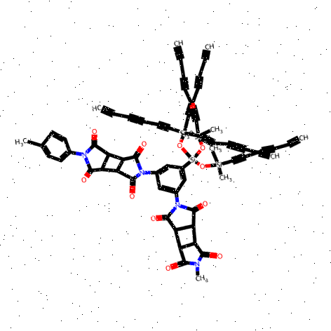 C#CC#CC#C[Si](C)(C)O[Si](O[Si](C)(C)C#CC#CC#C)(O[Si](C#CC#CC#C)(C#CC#CC#C)C#CC#CC#C)c1cc(N2C(=O)C3C4C(=O)N(C)C(=O)C4C3C2=O)cc(N2C(=O)C3C4C(=O)N(c5ccc(C)cc5)C(=O)C4C3C2=O)c1